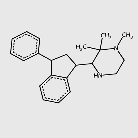 CN1CCNC(C2CC(c3ccccc3)c3ccccc32)C1(C)C